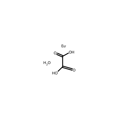 O.O=C(O)C(=O)O.[Eu]